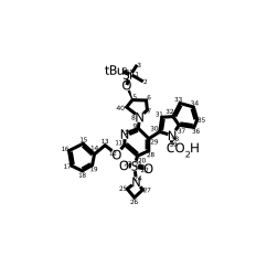 CC(C)(C)[Si](C)(C)O[C@H]1CCN(c2nc(OCc3ccccc3)c(S(=O)(=O)N3CCC3)cc2-c2cc3ccccc3n2C(=O)O)C1